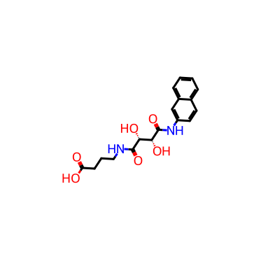 O=C(O)CCCNC(=O)[C@H](O)[C@@H](O)C(=O)Nc1ccc2ccccc2c1